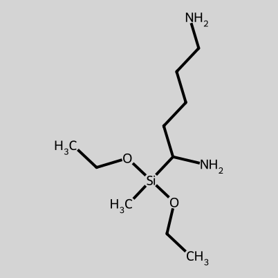 CCO[Si](C)(OCC)C(N)CCCCN